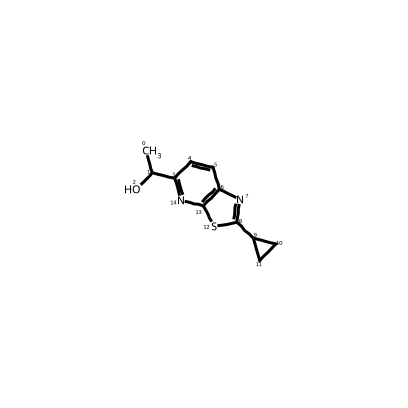 CC(O)c1ccc2nc(C3CC3)sc2n1